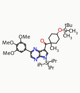 COc1cc(-c2cnc3c(n2)c(C(=O)C2(C)CCC(O[Si](C)(C)C(C)(C)C)CC2)cn3[Si](C(C)C)(C(C)C)C(C)C)cc(OC)c1OC